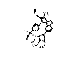 COc1cc(-c2ccc3ncc4c(c3c2)n(-c2ccc(C(C)(C)C#N)nc2)c(=NC#N)n4C)cc(OC)c1OC